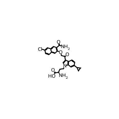 NC(=O)c1cc2cc(Cl)ccc2cc1OCC(=O)c1cn(CCC(N)C(=O)O)c2cc(C3CC3)ccc12